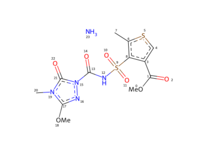 COC(=O)c1csc(C)c1S(=O)(=O)NC(=O)n1nc(OC)n(C)c1=O.N